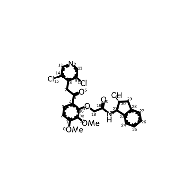 COc1ccc(C(=O)Cc2c(Cl)cncc2Cl)c(OCC(=O)NC2c3ccccc3C[C@H]2O)c1OC